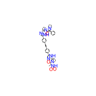 COC(=O)NC(C)C(=O)N1CCC[C@H]1c1ncc(-c2ccc(C#Cc3ccc(-c4cnc([C@@H]5CCCN5C(=O)[C@@H](c5ccccc5)N5CCCC5)[nH]4)cc3)cc2)[nH]1